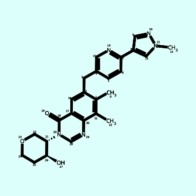 Cc1c(Cc2ccc(-c3cnn(C)c3)nc2)cc2c(=O)n([C@H]3COCC[C@@H]3O)cnc2c1C